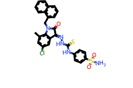 Cc1cc(Cl)cc2c1N(Cc1cccc3ccccc13)C(=O)C2=NNC(=S)Nc1ccc(S(N)(=O)=O)cc1